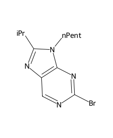 CCCCCn1c(C(C)C)nc2cnc(Br)nc21